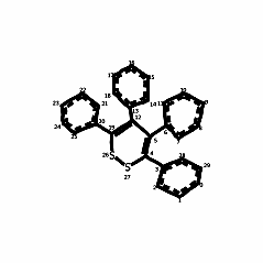 c1ccc(C2=C(c3ccccc3)C(c3ccccc3)=C(c3ccccc3)SS2)cc1